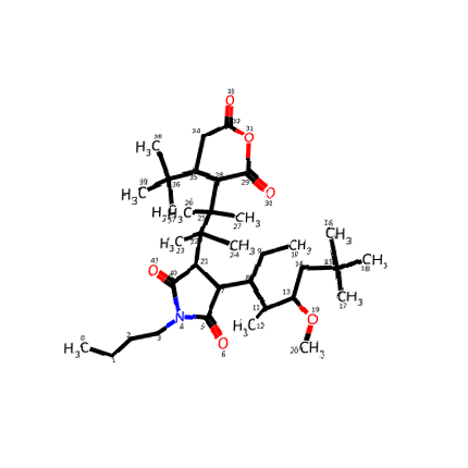 CCCCN1C(=O)C(C(CC)C(C)C(CC(C)(C)C)OC)C(C(C)(C)C(C)(C)C2C(=O)OC(=O)CC2C(C)(C)C)C1=O